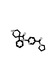 O=C(c1ccc(NC(=O)C2(c3ccccc3)CCNCC2)nc1)N1CCCC1